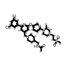 CC(=O)NCC1CCN(Cc2cc(Oc3ccc(N4CCN(CCS(C)(=O)=O)CC4C)nc3)nc(-c3cc(Cl)cc(Cl)c3)c2)CC1